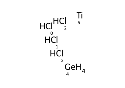 Cl.Cl.Cl.Cl.[GeH4].[Ti]